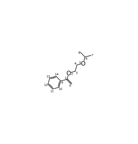 C=C(OCCOC(C)C)c1ccccc1